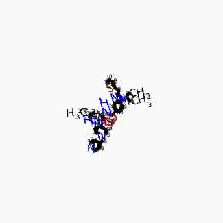 CCC(CC)n1c(Cc2cccs2)nc2cc(C(=O)N[C@@H](CC(C)C)C(=O)NC3CCN(Cc4ccncc4)CC3)ccc21